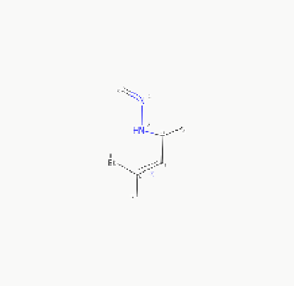 C=NNC(C)/C=C(/C)CC